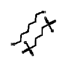 O=S(=O)(Cl)CCCCS(=O)(=O)Cl.OCCCCCCO